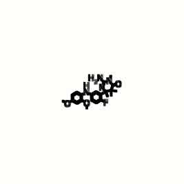 COc1ccc(Nc2ccc(F)c(C3(C)N=C(N)N(C)C(=O)C3(C)C)c2)c(OC)c1